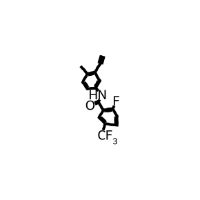 C#Cc1cc(NC(=O)c2cc(C(F)(F)F)ccc2F)ccc1C